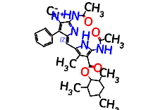 [C-]#[N+]C1=C(c2ccccc2)/C(=C/c2[nH]c(NC(C)=O)c(C(=O)OC3C(C)CC(C)CC3C)c2C)N=C1NC(C)=O